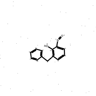 O=Nc1cccc(Cc2ccccc2)c1O